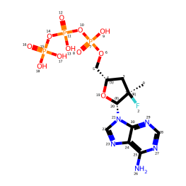 C[C@@]1(F)C[C@@H](COP(=O)(O)OP(=O)(O)OP(=O)(O)O)O[C@H]1n1cnc2c(N)ncnc21